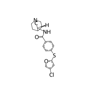 O=C(N[C@H]1CN2CCC1CC2)c1ccc(Sc2cc(Cl)co2)cc1